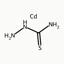 NNC(N)=S.[Cd]